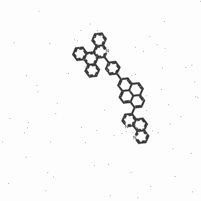 C1=CC2=CC=C(c3ccnc4c3ccc3cccnc34)C3=CC=C4C=C(c5ccc(-c6nc7ccccc7c7c8ccccc8c8ccccc8c67)cc5)C=C1C4C23